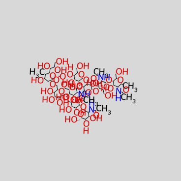 CC(=O)NC1C(O)[C@H](O)[C@H](CO)O[C@H]1OC1[C@@H](OCC2O[C@@H](O[C@@H]3C(CO)O[C@@H](O[C@@H]4C(CO)O[C@@H](C)C(NC(C)=O)[C@H]4O)C(NC(C)=O)[C@H]3O)C(O)[C@@H](O[C@H]3OC(CO)[C@@H](O)C(O)C3O[C@@H]3OC(CO)[C@H](O[C@@H]4OC(CO[C@]5(OC=O)C[C@@H](O)[C@@H](C)C(C(O)C(O)CO)O5)[C@H](O)[C@H](O)C4O)[C@H](O)C3NC(C)=O)[C@@H]2O)OC(CO)[C@@H](O)[C@@H]1O